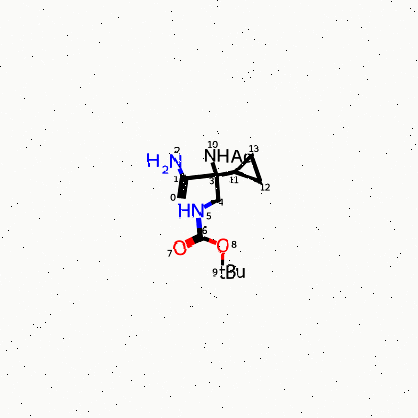 C=C(N)C(CNC(=O)OC(C)(C)C)(NC(C)=O)C1CC1